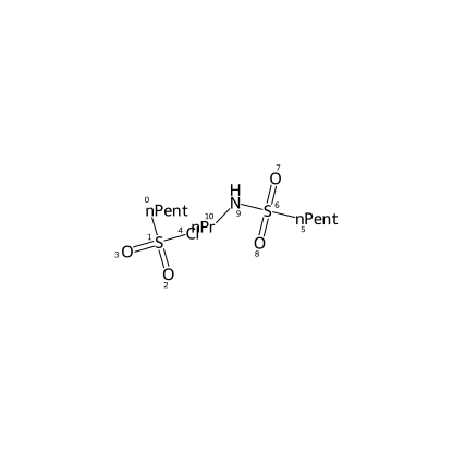 CCCCCS(=O)(=O)Cl.CCCCCS(=O)(=O)NCCC